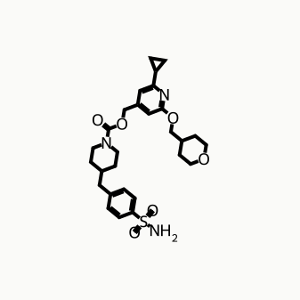 NS(=O)(=O)c1ccc(CC2CCN(C(=O)OCc3cc(OCC4CCOCC4)nc(C4CC4)c3)CC2)cc1